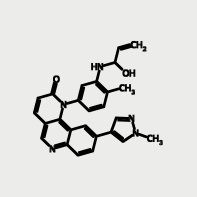 C=CC(O)Nc1cc(-n2c(=O)ccc3cnc4ccc(-c5cnn(C)c5)cc4c32)ccc1C